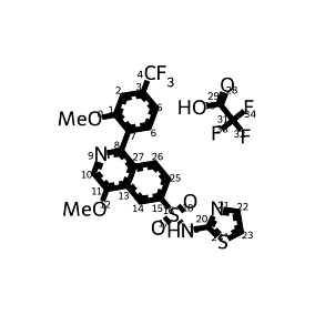 COc1cc(C(F)(F)F)ccc1-c1ncc(OC)c2cc(S(=O)(=O)Nc3nccs3)ccc12.O=C(O)C(F)(F)F